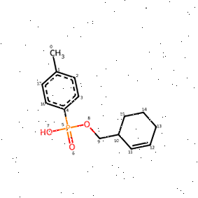 Cc1ccc(P(=O)(O)OCC2C=CCCC2)cc1